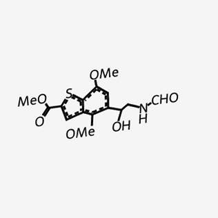 COC(=O)c1cc2c(OC)c(C(O)CNC=O)cc(OC)c2s1